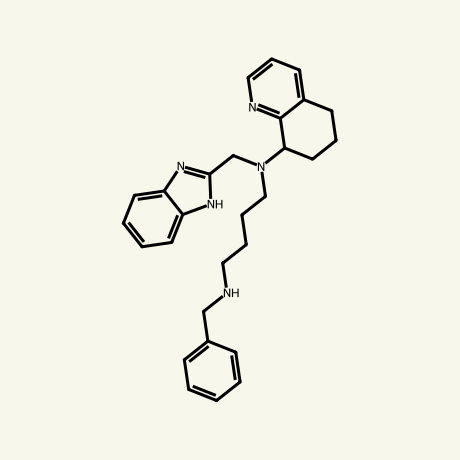 c1ccc(CNCCCCN(Cc2nc3ccccc3[nH]2)C2CCCc3cccnc32)cc1